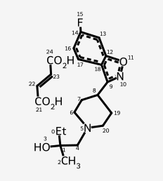 CCC(C)(O)CN1CCC(c2noc3cc(F)ccc23)CC1.O=C(O)/C=C/C(=O)O